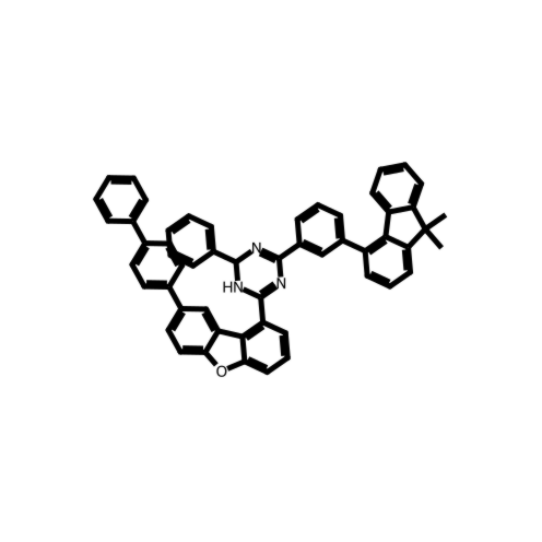 CC1(C)c2ccccc2-c2c(-c3cccc(C4=NC(c5ccccc5)NC(c5cccc6oc7ccc(-c8ccc(-c9ccccc9)cc8)cc7c56)=N4)c3)cccc21